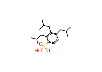 CC(C)Cc1ccc(S(=O)(=O)O)c(CC(C)C)c1CC(C)C